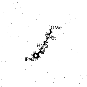 CCn1c(CCOC)nnc1SCC(=O)Nc1nnc(-c2ccc(OC(C)C)cc2)s1